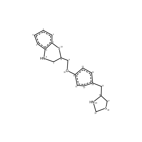 c1ccc2c(c1)NCC(COc1ccc(CC3CSCN3)cc1)S2